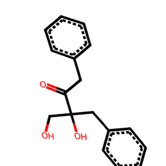 O=C(Cc1ccccc1)C(O)(CO)Cc1ccccc1